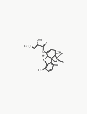 CC(=O)O[C@@H](CC(=O)O)C(=O)OC1=CC[C@@]2(O)[C@@H](C)N(C)CC[C@@]23c2c(C)ccc(O)c2O[C@@H]13